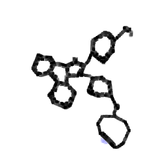 Cc1ccc(-c2nc3c4ccccc4c4ccccc4c3n2-c2ccc(OC3CC/C=C\CCC3)cc2)cc1